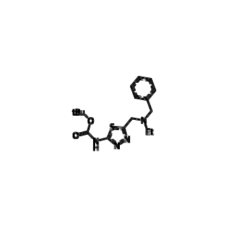 CCN(Cc1ccccc1)Cc1nnc(NC(=O)OC(C)(C)C)s1